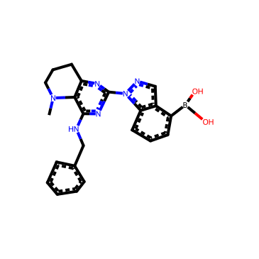 CN1CCCc2nc(-n3ncc4c(B(O)O)cccc43)nc(NCc3ccccc3)c21